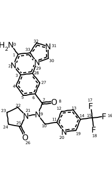 Nc1nc2ccc(C(=O)N(Cc3ccc(C(F)(F)F)cn3)N3CCCC3=O)cc2n2cncc12